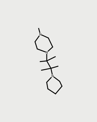 CN1CCN(C(C)(C)C(C)(C)N2CCCCC2)CC1